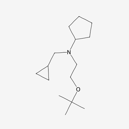 CC(C)(C)OCCN(CC1CC1)C1CCCC1